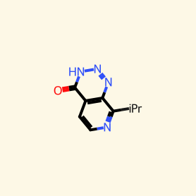 CC(C)c1nccc2c(=O)[nH]nnc12